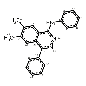 Cc1cc2c(Nc3ccccc3)nnc(-c3ccccc3)c2cc1C